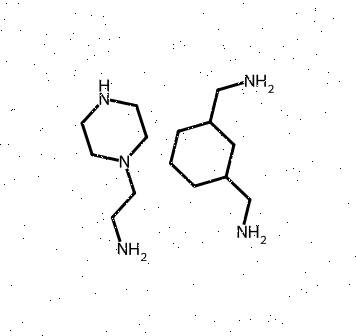 NCC1CCCC(CN)C1.NCCN1CCNCC1